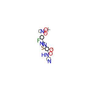 COc1cc2c(cc1C(=O)NC1CCN(C)CC1)sc1nc(-c3ccc([C@@H]4CCCN4C(=O)OC(C)(C)C)cc3F)cn12